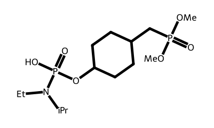 CCN(C(C)C)P(=O)(O)OC1CCC(CP(=O)(OC)OC)CC1